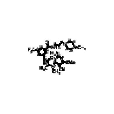 CSc1nc(N)nc(N(C)[C@@H](C)C(=O)Nc2cc(C(=O)NCCCN3CCN(C)CC3)cc(C(F)(F)F)c2)c1C#N